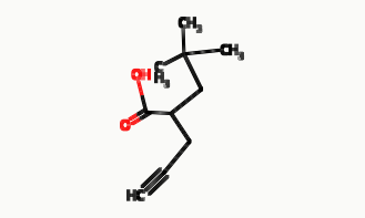 C#CCC(CC(C)(C)C)C(=O)O